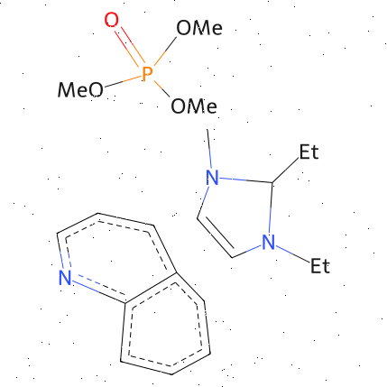 CCC1N(C)C=CN1CC.COP(=O)(OC)OC.c1ccc2ncccc2c1